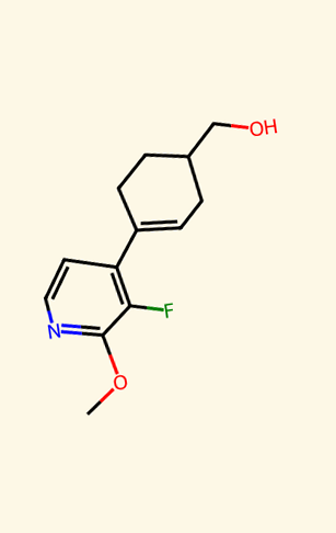 COc1nccc(C2=CCC(CO)CC2)c1F